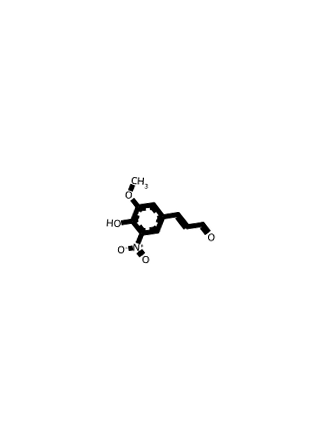 COc1cc(/C=C/C=O)cc([N+](=O)[O-])c1O